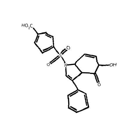 O=C(O)c1ccc(S(=O)(=O)N2C=C(c3ccccc3)C3C(=O)C(O)C=CC32)cc1